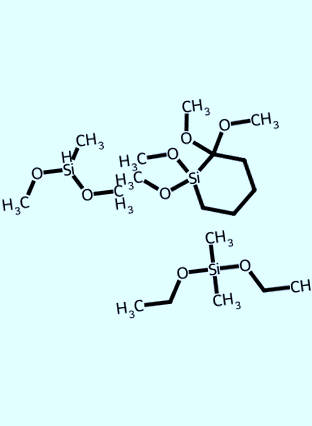 CCO[Si](C)(C)OCC.COC1(OC)CCCC[Si]1(OC)OC.CO[SiH](C)OC